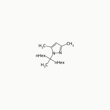 CCCCCCC(C)(CCCCCC)n1nc(C)cc1C